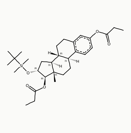 CCC(=O)Oc1ccc2c(c1)CC[C@@H]1[C@@H]2CC[C@@]2(C)[C@H]1C[C@@H](O[Si](C)(C)C(C)(C)C)[C@@H]2OC(=O)CC